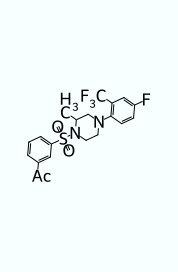 CC(=O)c1cccc(S(=O)(=O)N2CCN(c3ccc(F)cc3C(F)(F)F)CC2C)c1